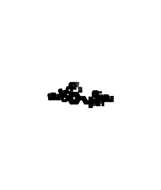 CC(C)(CCc1ccc(O[Si](C)(C)C(C)(C)C)c(OC(F)(F)F)c1)N[S+]([O-])C(C)(C)C